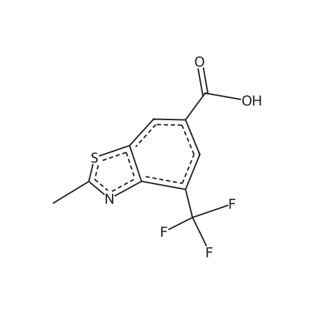 Cc1nc2c(C(F)(F)F)cc(C(=O)O)cc2s1